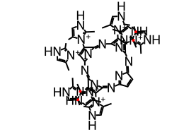 Cc1c[nH]c(C)[n+]1C1=C([n+]2c(C)c[nH]c2C)c2nc1nc1c(-[n+]3c(C)c[nH]c3C)c(-[n+]3c(C)c[nH]c3C)c(nc3nc(nc4c(-[n+]5c(C)c[nH]c5C)c(-[n+]5c(C)c[nH]c5C)c(n2)n4-[n+]2c(C)c[nH]c2C)C=C3)n1-[n+]1c(C)c[nH]c1C